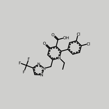 CCn1c(Cn2ncc(C(F)(F)F)n2)cc(=O)c(C(=O)O)c1-c1ccc(Cl)c(Cl)c1